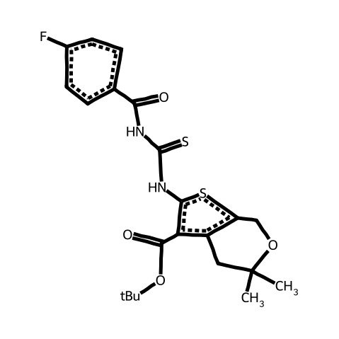 CC(C)(C)OC(=O)c1c(NC(=S)NC(=O)c2ccc(F)cc2)sc2c1CC(C)(C)OC2